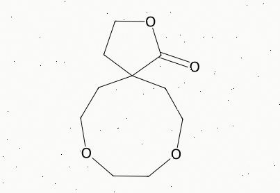 O=C1OCCC12CCOCCOCC2